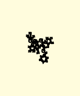 CC(OCc1ccccc1)C(C(=O)N1CCCC1)N1C(=O)C2(CCCN2C(=O)OC(C)(C)C)C1C